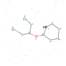 ClCC(CCl)OC1BCCCC1